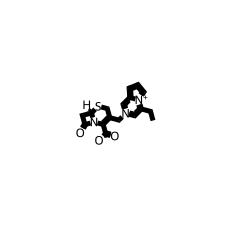 CCc1cn(CC2=C(C(=O)[O-])N3C(=O)C[C@@H]3SC2)cc2ccc[n+]1-2